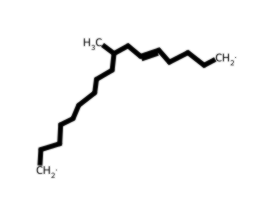 [CH2]CCCC=CCC(C)CCCCCCCC[CH2]